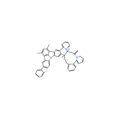 C=C1CC2(C)[n+]3ccccc3-c3cc4c5c(C)cc(C)c6c7cc8c(cc7n(c4cc3C2(C)CCc2ccccc2-c2cccc[n+]21)c56)sc1ccccc18